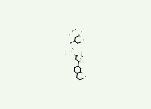 C[C@H](SCNc1cc(-c2ccc3cccnc3c2)ncn1)c1ccnc2c1OCCO2